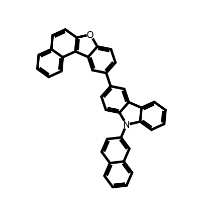 c1ccc2cc(-n3c4ccccc4c4cc(-c5ccc6oc7ccc8ccccc8c7c6c5)ccc43)ccc2c1